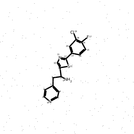 NC(Cc1ccncc1)c1cnc(-c2ccc(F)c(Cl)c2)s1